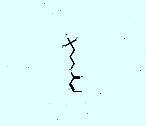 C/C=C\C(=O)OCCCC(F)(F)F